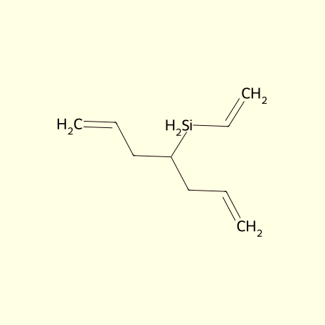 C=CCC(CC=C)[SiH2]C=C